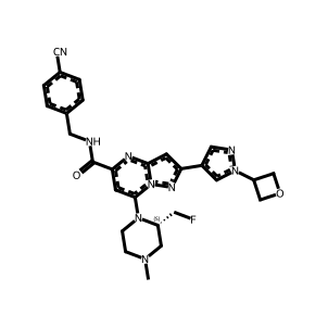 CN1CCN(c2cc(C(=O)NCc3ccc(C#N)cc3)nc3cc(-c4cnn(C5COC5)c4)nn23)[C@H](CF)C1